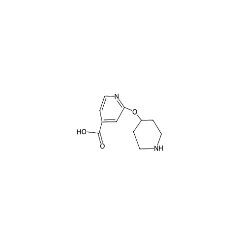 O=C(O)c1ccnc(OC2CCNCC2)c1